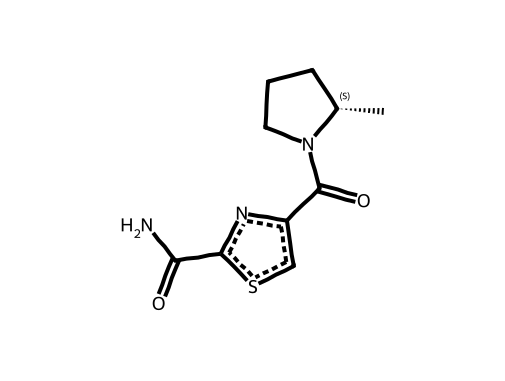 C[C@H]1CCCN1C(=O)c1csc(C(N)=O)n1